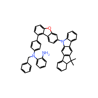 CC1(C)c2cc3c4ccccc4n(-c4ccc5c(c4)oc4cccc(-c6ccc(N(Cc7ccccc7)c7ccccc7N)cc6)c45)c3cc2C2=CC=CCC21